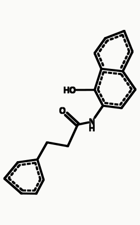 O=C(CCc1ccccc1)Nc1ccc2ccccc2c1O